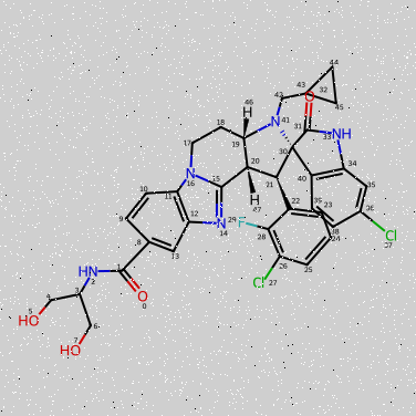 O=C(NC(CO)CO)c1ccc2c(c1)nc1n2CC[C@H]2[C@@H]1[C@H](c1cccc(Cl)c1F)[C@]1(C(=O)Nc3cc(Cl)ccc31)N2CC1CC1